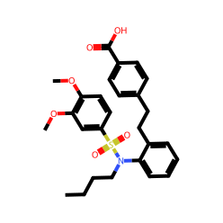 CCCCN(c1ccccc1CCc1ccc(C(=O)O)cc1)S(=O)(=O)c1ccc(OC)c(OC)c1